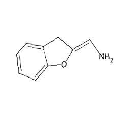 NC=C1Cc2ccccc2O1